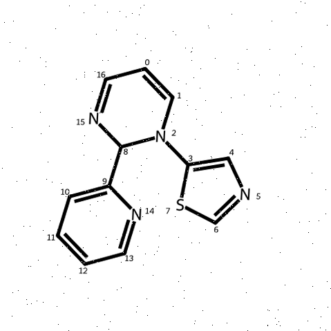 C1=CN(c2cncs2)C(c2ccccn2)N=C1